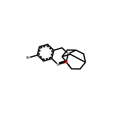 Brc1ccc2c(c1)N=C1C3CC4CC(C3)CC(C4)N1C2